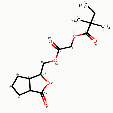 CCC(C)(C)C(=O)OCC(=O)OCC1OC(=O)C2CCCC12